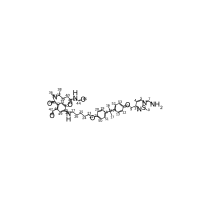 CS\N=C(/C=C\N=C\N)COc1ccc(C(C)(C)c2ccc(OCCCCCNc3ccc(C(=O)N(C)C(C)CCC(=O)NC=O)c(C=O)c3)cc2)cc1